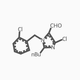 CCCCc1nc(Cl)c(C=O)n1Cc1ccccc1Cl